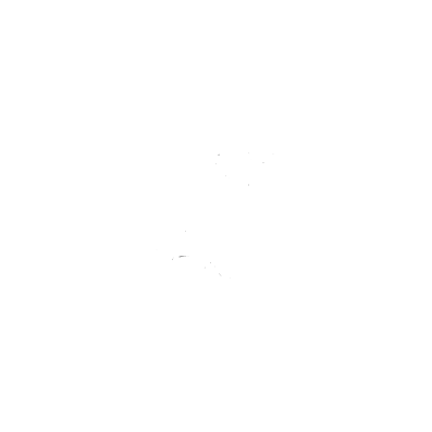 O=C1c2ccccc2OC=C(Cl)N1CCCCN1CCC=C(c2ccccn2)C1